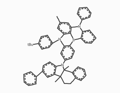 Cc1cc2c3c(c1)N(c1ccc(C(C)(C)C)cc1)c1cc(N4c5ccc(-c6ccccc6)cc5C5(C)CCc6ccccc6C45C)ccc1B3c1ccccc1N2c1ccccc1